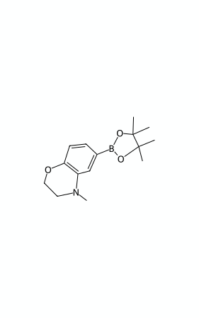 CN1CCOc2ccc(B3OC(C)(C)C(C)(C)O3)cc21